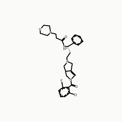 O=C(CCN1CCOCC1)N[C@@H](CCN1CC2=CN(C(=O)c3c(F)cccc3Cl)CC2C1)c1ccccc1